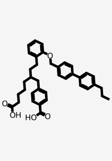 CCCc1ccc(-c2ccc(COc3ccccc3CCC(CCCCC(=O)O)Cc3ccc(C(=O)O)cc3)cc2)cc1